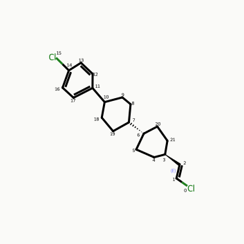 Cl/C=C/[C@H]1CC[C@H](C2CCC(c3ccc(Cl)cc3)CC2)CC1